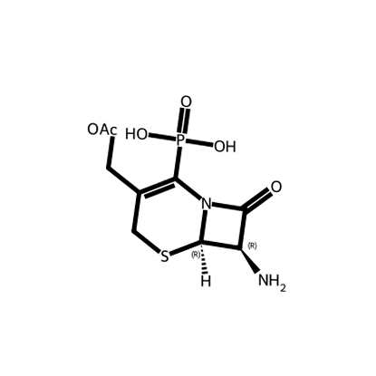 CC(=O)OCC1=C(P(=O)(O)O)N2C(=O)[C@@H](N)[C@H]2SC1